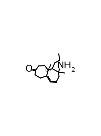 CCCC1C(C)(N)CCC=C2CCC(=O)CC[C@@]21C